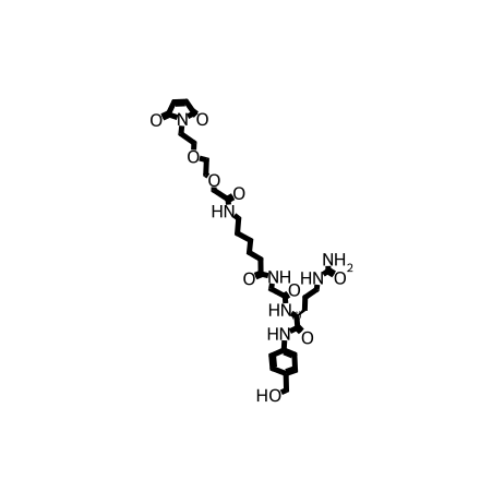 NC(=O)NCCC[C@H](NC(=O)CNC(=O)CCCCCNC(=O)COCCOCCN1C(=O)C=CC1=O)C(=O)Nc1ccc(CO)cc1